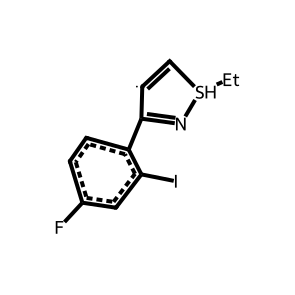 CC[SH]1C=[C]C(c2ccc(F)cc2I)=N1